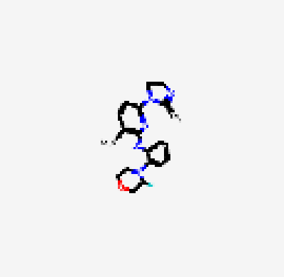 CC1=NCCN1c1ccc([N+](=O)[O-])c(Nc2ccccc2N2CCOCC2F)n1